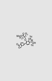 [2H]C([2H])Oc1ccc(-c2ccc3c(c2)COC3=O)c(OCC(C)(C)C(=O)OC)c1OC([2H])[2H]